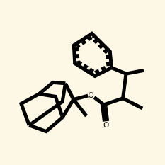 CC(C(=O)OC1(C)C2CC3CC(C2)CC1C3)C(C)c1ccccc1